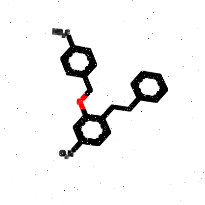 O=C(O)c1ccc(COc2cc([N+](=O)[O-])ccc2CCc2ccccc2)cc1